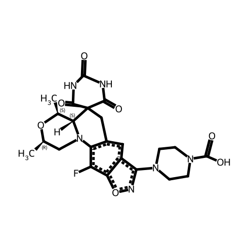 C[C@@H]1CN2c3c(cc4c(N5CCN(C(=O)O)CC5)noc4c3F)CC3(C(=O)NC(=O)NC3=O)[C@H]2[C@H](C)O1